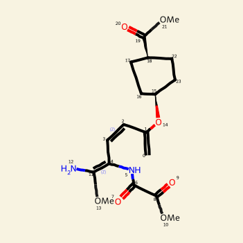 C=C(/C=C\C(NC(=O)C(=O)OC)=C(/N)OC)O[C@H]1CC[C@@H](C(=O)OC)CC1